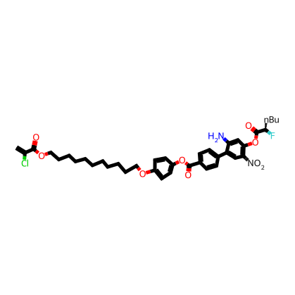 C=C(Cl)C(=O)OCCCCCCCCCCCOc1ccc(OC(=O)c2ccc(-c3cc([N+](=O)[O-])c(OC(=O)[C@H](F)CCCC)cc3N)cc2)cc1